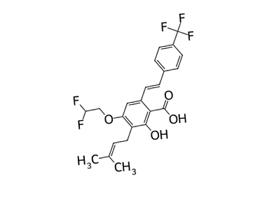 CC(C)=CCc1c(OCC(F)F)cc(C=Cc2ccc(C(F)(F)F)cc2)c(C(=O)O)c1O